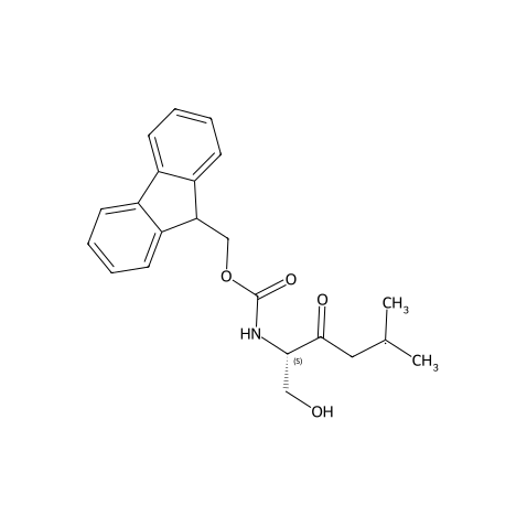 C[C](C)CC(=O)[C@H](CO)NC(=O)OCC1c2ccccc2-c2ccccc21